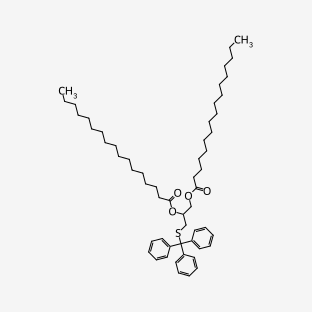 CCCCCCCCCCCCCCCCC(=O)OCC(CSC(c1ccccc1)(c1ccccc1)c1ccccc1)OC(=O)CCCCCCCCCCCCCCCC